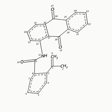 C=C(C)c1ccccc1C(=O)Nc1cccc2c1C(=O)c1ccccc1C2=O